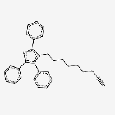 N#CCCCCCCCn1c(-c2ccccc2)nc(-c2ccccc2)c1-c1ccccc1